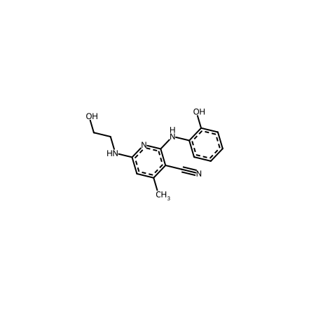 Cc1cc(NCCO)nc(Nc2ccccc2O)c1C#N